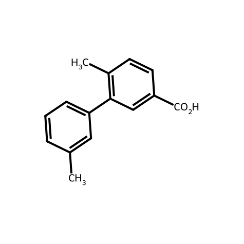 Cc1cccc(-c2cc(C(=O)O)ccc2C)c1